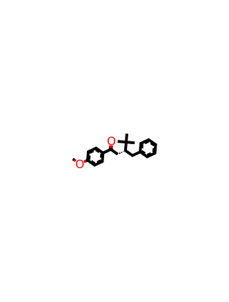 COc1ccc(C(=O)C[C@@H](Cc2ccccc2)C(C)(C)C)cc1